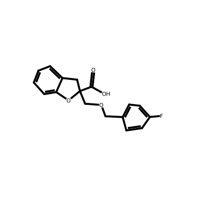 O=C(O)C1(COCc2ccc(F)cc2)Cc2ccccc2O1